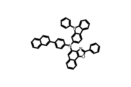 c1ccc(-c2nc3c(N(c4ccc(-c5ccc6ccccc6c5)cc4)c4ccc5c6ccccc6n(-c6ccccc6)c5c4)cc4ccccc4c3o2)cc1